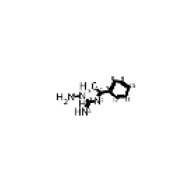 CC(=NC(=N)NN)c1ccccc1